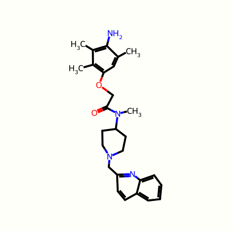 Cc1cc(OCC(=O)N(C)C2CCN(Cc3ccc4ccccc4n3)CC2)c(C)c(C)c1N